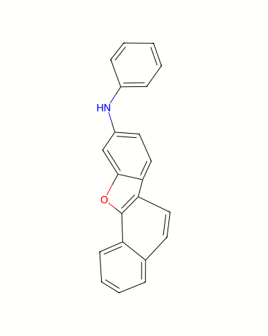 c1ccc(Nc2ccc3c(c2)oc2c4ccccc4ccc32)cc1